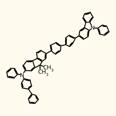 CC1(C)c2cc(-c3ccc(-c4ccc(-c5ccc6c(c5)c5ccccc5n6-c5ccccc5)cc4)cc3)ccc2-c2ccc(N(c3ccccc3)c3ccc(-c4ccccc4)cc3)cc21